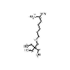 CCCC(CCCCCOCC(CO)(CO)CO)C(=O)O